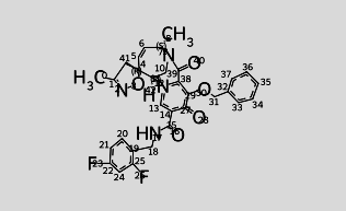 CC1=NO[C@@]2(C=C[C@H](C)N3C[C@H]2n2cc(C(=O)NCc4ccc(F)cc4F)c(=O)c(OCc4ccccc4)c2C3=O)C1